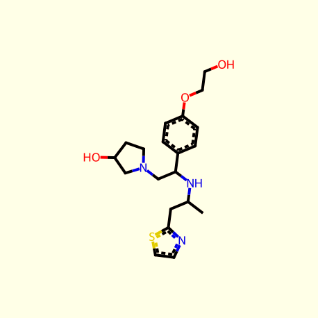 CC(Cc1nccs1)NC(CN1CCC(O)C1)c1ccc(OCCO)cc1